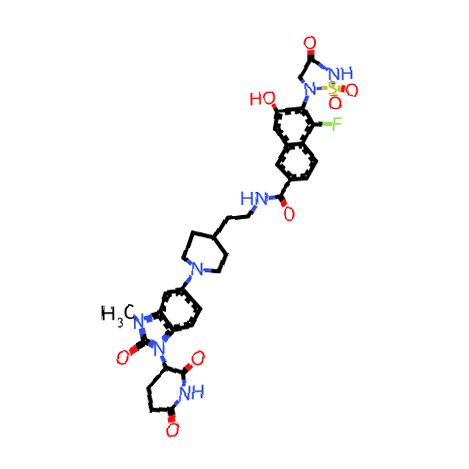 Cn1c(=O)n(C2CCC(=O)NC2=O)c2ccc(N3CCC(CCNC(=O)c4ccc5c(F)c(N6CC(=O)NS6(=O)=O)c(O)cc5c4)CC3)cc21